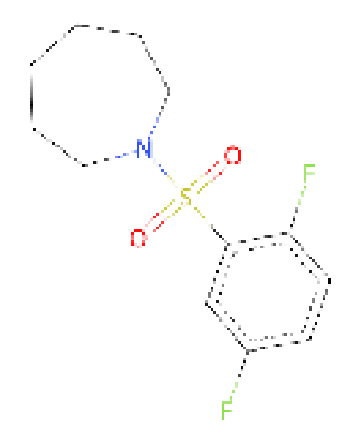 O=S(=O)(c1cc(F)ccc1F)N1CCCCCC1